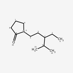 CCC(CCN1CCCC1=O)C(C)C